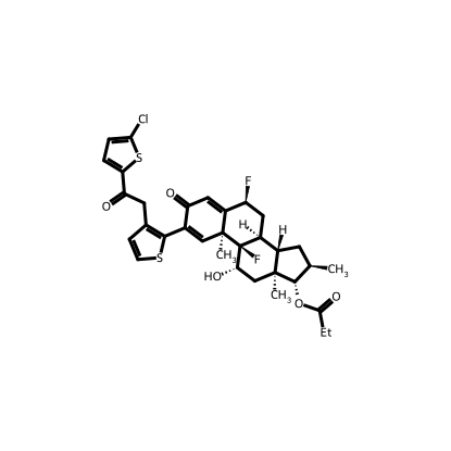 CCC(=O)O[C@H]1[C@H](C)C[C@H]2[C@@H]3C[C@H](F)C4=CC(=O)C(c5sccc5CC(=O)c5ccc(Cl)s5)=C[C@]4(C)[C@@]3(F)[C@@H](O)C[C@@]21C